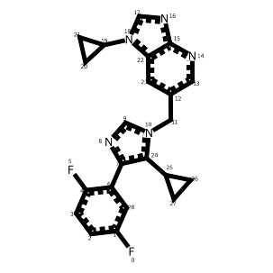 Fc1ccc(F)c(-c2ncn(Cc3cnc4ncn(C5CC5)c4c3)c2C2CC2)c1